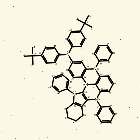 CC(C)(C)c1ccc(N(c2ccc(C(C)(C)C)cc2)c2ccc3c(c2)N(c2ccccc2)c2cccc4c2B3c2c(c3c(n2-c2ccccc2)CCCC3)N4c2ccccc2)cc1